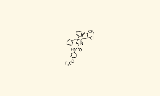 O=C(Nc1ccc(OC(F)(F)F)cc1)N1CC(Cc2ccccc2)(c2ccccc2)C(c2ccc(C(F)(F)F)c(Cl)c2)=N1